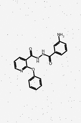 Nc1cccc(C(=O)NNC(=O)c2cccnc2Oc2ccccc2)c1